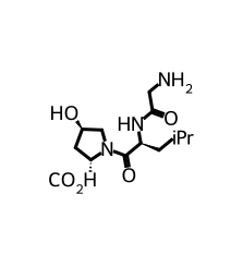 CC(C)C[C@H](NC(=O)CN)C(=O)N1C[C@H](O)C[C@H]1C(=O)O